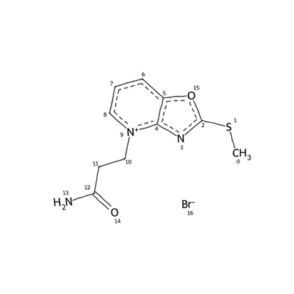 CSc1nc2c(ccc[n+]2CCC(N)=O)o1.[Br-]